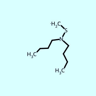 [CH2]SN(CCCC)CCCC